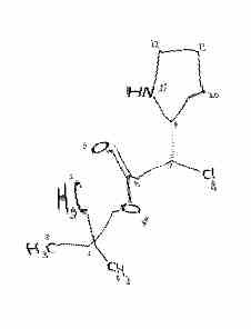 CC(C)(C)OC(=O)C(Cl)[C@H]1CCCN1